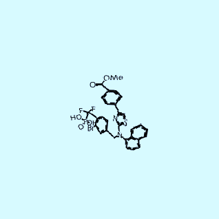 COC(=O)c1ccc(-c2csc(N(Cc3ccc(C(F)(F)P(=O)(O)O)c(Br)c3)c3cccc4ccccc34)n2)cc1